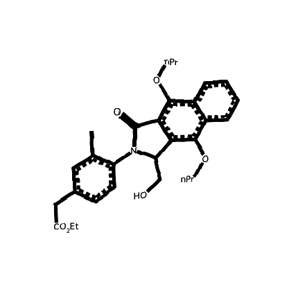 CCCOc1c2c(c(OCCC)c3ccccc13)C(CO)N(c1ccc(CC(=O)OCC)cc1C)C2=O